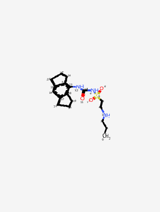 CCCNCCS(=O)(=O)NC(=O)Nc1c2c(cc3c1CCC3)CCC2